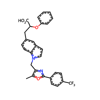 Cc1oc(-c2ccc(C(F)(F)F)cc2)nc1Cn1ccc2cc(CC(Oc3ccccc3)C(=O)O)ccc21